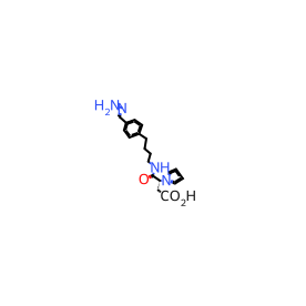 NN=Cc1ccc(CCCCNC(=O)[C@@H](CC(=O)O)n2cccc2)cc1